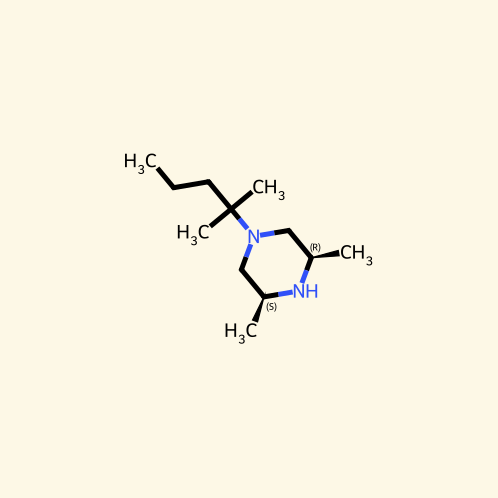 CCCC(C)(C)N1C[C@@H](C)N[C@@H](C)C1